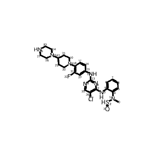 CN([SH]=O)c1ccccc1Nc1nc(Nc2ccc(N3CCC(N4CCNCC4)CC3)c(F)c2)ncc1Cl